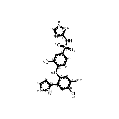 N#Cc1cc(S(=O)(=O)Nc2ncns2)ccc1Oc1cc(F)c(Cl)cc1-c1ccn[nH]1